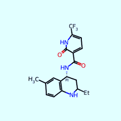 CCC1C[C@@H](NC(=O)c2ccc(C(F)(F)F)[nH]c2=O)c2cc(C)ccc2N1